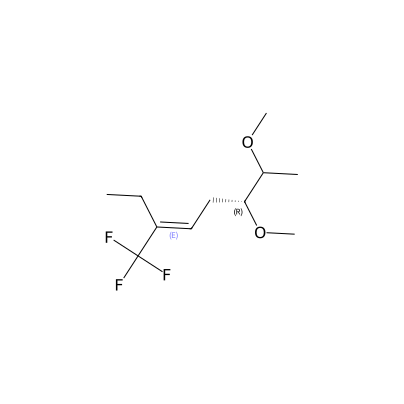 CC/C(=C\C[C@@H](OC)C(C)OC)C(F)(F)F